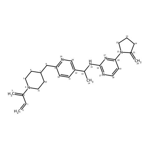 C=CC(=C)N1CCC(Cc2ccc(C(C)Nc3nccc(N4CCCC4=C)n3)cn2)CC1